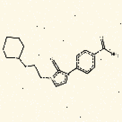 NC(=O)c1ccc(-n2ccn(CCCC3CCCCC3)c2=O)cc1